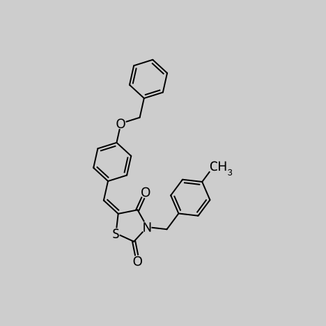 Cc1ccc(CN2C(=O)SC(=Cc3ccc(OCc4ccccc4)cc3)C2=O)cc1